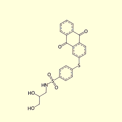 O=C1c2ccccc2C(=O)c2cc(Sc3ccc(S(=O)(=O)NCC(O)CO)cc3)ccc21